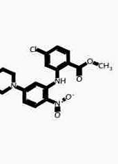 COC(=O)c1ccc(Cl)cc1Nc1cc(N2CCCCC2)ccc1[N+](=O)[O-]